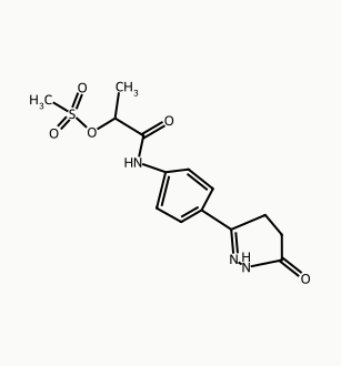 CC(OS(C)(=O)=O)C(=O)Nc1ccc(C2=NNC(=O)CC2)cc1